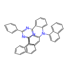 c1ccc(-c2ccc(N(c3ccccc3-c3nc(-c4ccccc4)nc(-c4ccccc4)n3)c3cccc4ccccc34)cc2)cc1